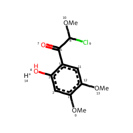 COc1cc(O)c(C(=O)C(Cl)OC)cc1OC.[H+]